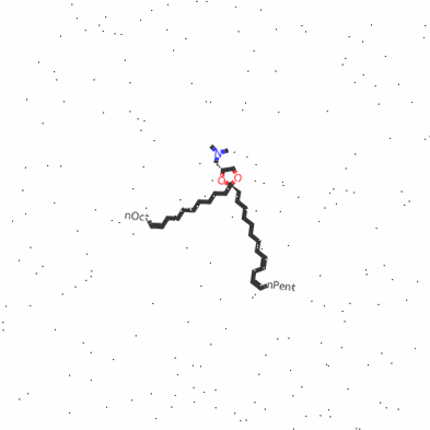 CCCCC/C=C\C/C=C\CCCCCCCC[C@]1(CCCCCCCC/C=C\CCCCCCCC)OC[C@@H](CN(C)C)O1